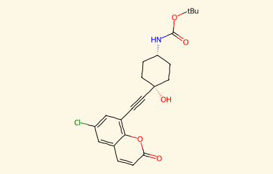 CC(C)(C)OC(=O)N[C@H]1CC[C@](O)(C#Cc2cc(Cl)cc3ccc(=O)oc23)CC1